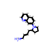 NCC=CCC1CCCN1c1ccc2cccnc2c1